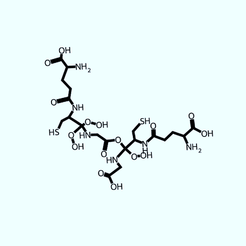 NC(CCC(=O)NC(CS)C(NCC(=O)OC(NCC(=O)O)(OO)C(CS)NC(=O)CCC(N)C(=O)O)(OO)OO)C(=O)O